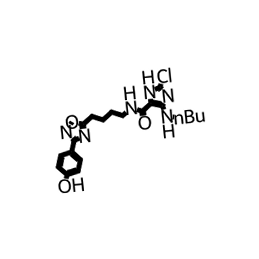 CCCCNc1nc(Cl)[nH]c1C(=O)NCCCCc1nc(-c2ccc(O)cc2)no1